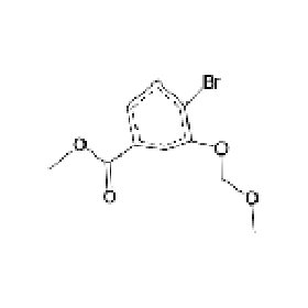 COCOc1cc(C(=O)OC)ccc1Br